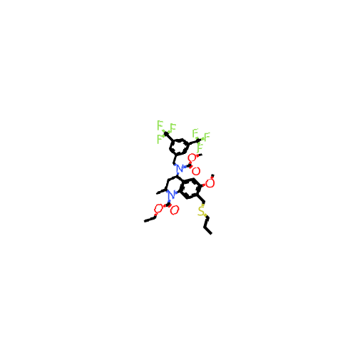 CCCSCc1cc2c(cc1OC)C(N(Cc1cc(C(F)(F)F)cc(C(F)(F)F)c1)C(=O)OC)CC(C)N2C(=O)OCC